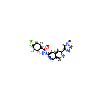 Cn1cc(-c2cc3cc(NC(=O)C4CCC(F)(F)CC4)ncc3cn2)nn1